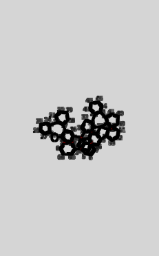 c1ccc(-c2ccccc2C(c2ccc3c(c2)-c2ccccc2-c2ccccc2O3)c2ccc3c(c2)C2(c4ccccc4-c4ccccc4-3)c3ccccc3-c3cc4ccccc4cc32)cc1